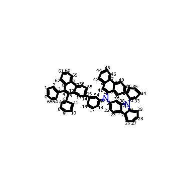 c1ccc(-c2c(-c3ccccc3)c3cc(-c4cccc(N(c5ccc6c7ccccc7n(-c7ccccc7)c6c5)c5cc6ccccc6c6ccccc56)c4)ccc3c3ccccc23)cc1